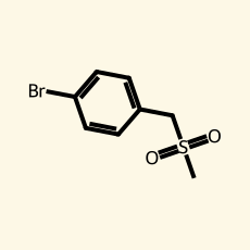 CS(=O)(=O)Cc1ccc(Br)cc1